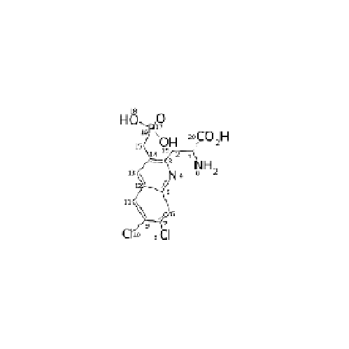 N[C@H](Cc1nc2cc(Cl)c(Cl)cc2cc1CP(=O)(O)O)C(=O)O